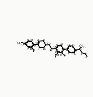 CCCC(O)c1ccc(-c2ccc(CCC3CC=C(c4ccc(O)cc4F)CC3)c(F)c2F)cc1